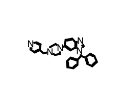 c1ccc(C(c2ccccc2)n2cnc3ccc(N4CCN(Cc5ccncc5)CC4)cc32)cc1